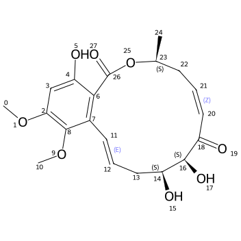 COc1cc(O)c2c(c1OC)/C=C/C[C@H](O)[C@H](O)C(=O)/C=C\C[C@H](C)OC2=O